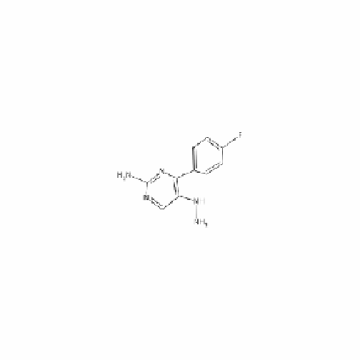 NNc1cnc(N)nc1-c1ccc(F)cc1